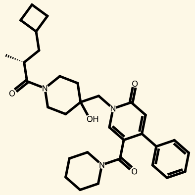 C[C@H](CC1CCC1)C(=O)N1CCC(O)(Cn2cc(C(=O)N3CCCCC3)c(-c3ccccc3)cc2=O)CC1